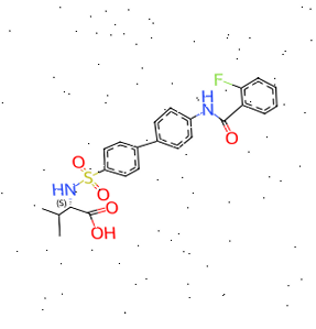 CC(C)[C@H](NS(=O)(=O)c1ccc(-c2ccc(NC(=O)c3ccccc3F)cc2)cc1)C(=O)O